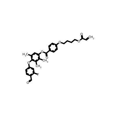 C=CC(=O)OCCCCOc1ccc(C(=O)Oc2cc(C)c(Oc3ccc(C=O)c(F)c3)c(C)c2C)cc1